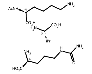 CC(=O)N[C@@H](CCCCN)C(=O)O.CC(C)[C@H](N)C(=O)O.NC(=O)NCCC[C@H](N)C(=O)O